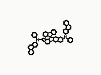 c1ccc(N(c2ccc3cc4c(cc3c2)C2(c3ccccc3-c3ccccc32)c2c-4ccc3cc(N(c4ccccc4)c4ccc5c(ccc6ccccc65)c4)ccc23)c2ccc3c(ccc4ccccc43)c2)cc1